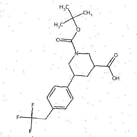 CC(C)(C)OC(=O)N1CC(C(=O)O)CC(c2ccc(CC(F)(F)F)cc2)C1